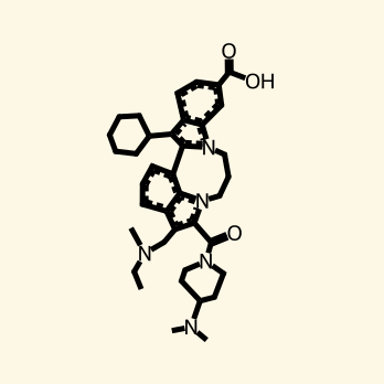 CCN(C)Cc1c(C(=O)N2CCC(N(C)C)CC2)n2c3c(cccc13)-c1c(C3CCCCC3)c3ccc(C(=O)O)cc3n1CCC2